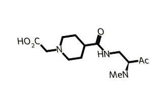 CN[C@@H](CNC(=O)C1CCN(CC(=O)O)CC1)C(C)=O